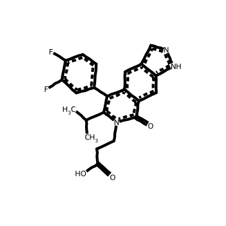 CC(C)c1c(-c2ccc(F)c(F)c2)c2cc3cn[nH]c3cc2c(=O)n1CCC(=O)O